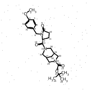 COc1ccc(CN2C(=O)CC[C@H]2C(=O)N2CC3CC(CN(C(=O)OC(C)(C)C)C3)C2)cc1